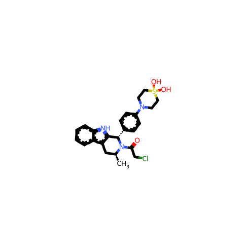 C[C@H]1Cc2c([nH]c3ccccc23)[C@H](c2ccc(N3CCS(O)(O)CC3)cc2)N1C(=O)CCl